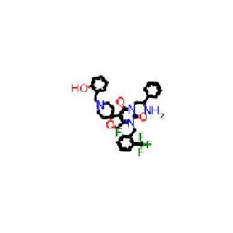 NC(Cn1c(=O)c2c(n(Cc3c(F)cccc3C(F)(F)F)c1=O)COC21CCN(Cc2ccccc2O)CC1)c1ccccc1